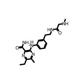 CCc1nc(C(N)=O)c(Nc2cccc(CCNC(=O)CNC)c2)nc1C